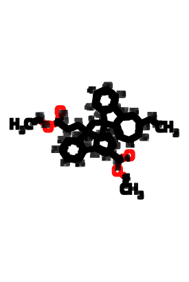 CCOC(=O)CCCC1(CC2(CCC(=O)OCC)C3=CCC=C3c3ccccc32)C2=CCC=C(CC)C=C2c2ccccc21